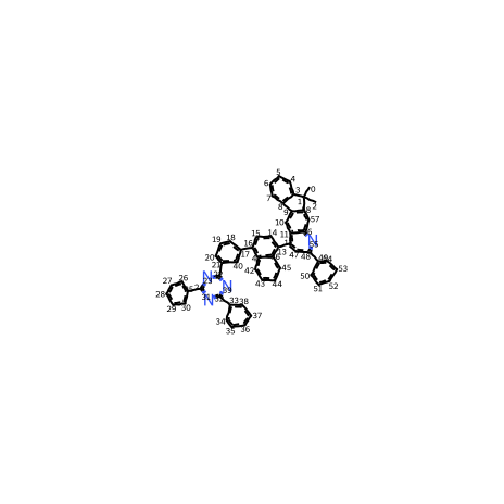 CC1(C)c2ccccc2-c2cc3c(-c4ccc(-c5cccc(-c6nc(-c7ccccc7)nc(-c7ccccc7)n6)c5)c5ccccc45)cc(-c4ccccc4)nc3cc21